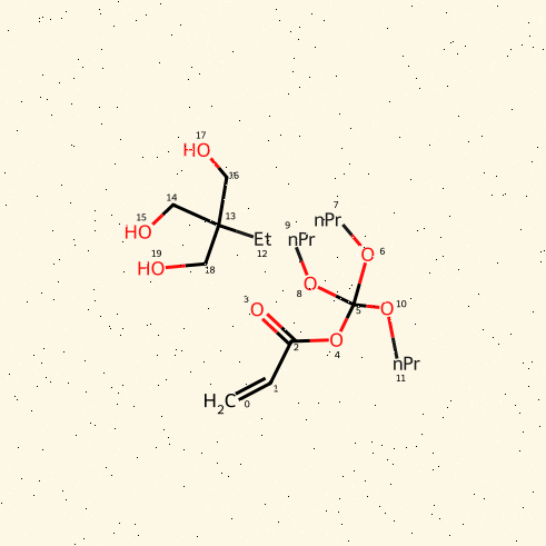 C=CC(=O)OC(OCCC)(OCCC)OCCC.CCC(CO)(CO)CO